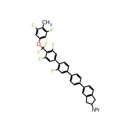 CCCC1Cc2ccc(-c3ccc(-c4ccc(-c5cc(F)c(C(F)(F)Oc6cc(F)c(C)c(F)c6)c(F)c5)c(F)c4)cc3)cc2C1